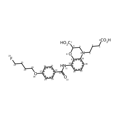 O=C(O)CCCN1CC(C(=O)O)Oc2c(NC(=O)c3ccc(OCCCCF)cc3)cccc21